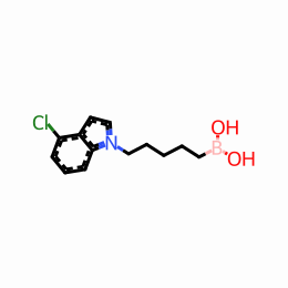 OB(O)CCCCCn1ccc2c(Cl)cccc21